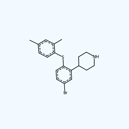 Cc1ccc(Sc2ccc(Br)cc2C2CCNCC2)c(C)c1